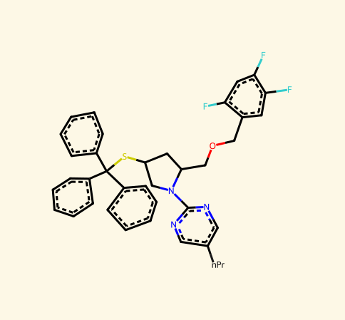 CCCc1cnc(N2CC(SC(c3ccccc3)(c3ccccc3)c3ccccc3)CC2COCc2cc(F)c(F)cc2F)nc1